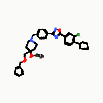 O=C(O)OC1(COCc2ccccc2)CCN(Cc2ccc(-c3noc(-c4ccc(-c5ccccc5)c(Cl)c4)n3)cc2)CC1